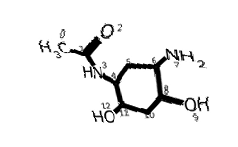 CC(=O)NC1CC(N)C(O)CC1O